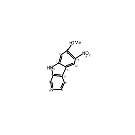 COc1cc2[nH]c3cnccc3c2cc1[N+](=O)[O-]